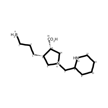 BCCC[C@H]1CN(CC2CCCCN2)C[C@H]1C(=O)O